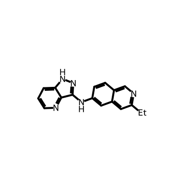 CCc1cc2cc(Nc3n[nH]c4cccnc34)ccc2cn1